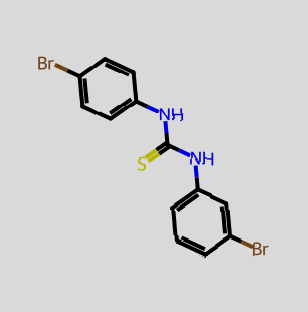 S=C(Nc1ccc(Br)cc1)Nc1cccc(Br)c1